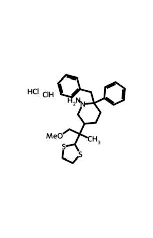 COCC(C)(C1CCC(Cc2ccccc2)(c2ccccc2)N(N)C1)C1SCCS1.Cl.Cl